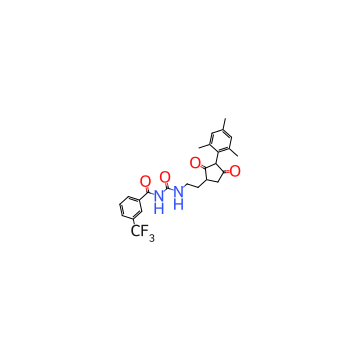 Cc1cc(C)c(C2C(=O)CC(CCNC(=O)NC(=O)c3cccc(C(F)(F)F)c3)C2=O)c(C)c1